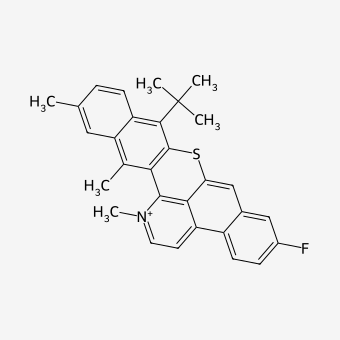 Cc1ccc2c(C(C)(C)C)c3c(c(C)c2c1)-c1c2c(cc4cc(F)ccc4c2cc[n+]1C)S3